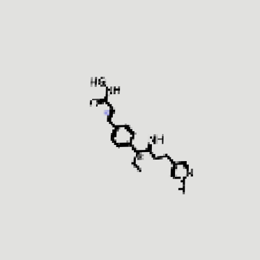 CC[C@H](C(=N)CCc1cn[nH]c1)c1ccc(/C=C/C(=O)NO)cc1